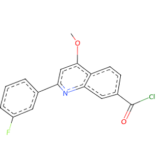 COc1cc(-c2cccc(F)c2)nc2cc(C(=O)Cl)ccc12